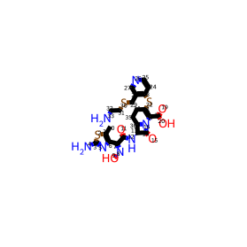 Cc1sc(N)nc1C(=NO)C(=O)N[C@H]1C(=O)N2C(C(=O)O)=C(Sc3ccncc3CSCCN)CCC12